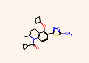 CC1CCc2c(ccc(-c3nnc(N)s3)c2OC2CCC2)N1C(=O)C1CC1